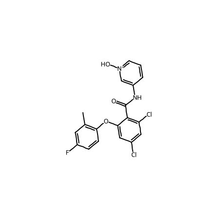 Cc1cc(F)ccc1Oc1cc(Cl)cc(Cl)c1C(=O)Nc1ccc[n+](O)c1